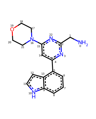 NCc1nc(-c2cccc3[nH]ccc23)cc(N2CCOCC2)n1